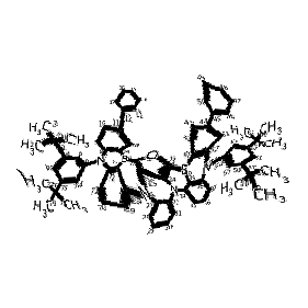 CC(C)(C)c1cc(N2c3ccc(-c4ccccc4)cc3B3c4oc5c6c4N(c4ccccc4N6c4cccc6c4B5c4ccc(-c5ccccc5)cc4N6c4cc(C(C)(C)C)cc(C(C)(C)C)c4)c4cccc2c43)cc(C(C)(C)C)c1